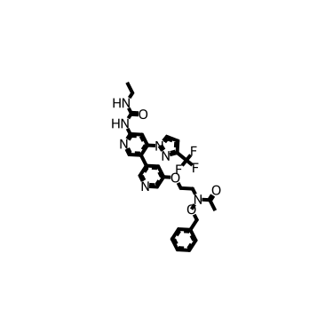 CCNC(=O)Nc1cc(-n2ccc(C(F)(F)F)n2)c(-c2cncc(OCCN(OCc3ccccc3)C(C)=O)c2)cn1